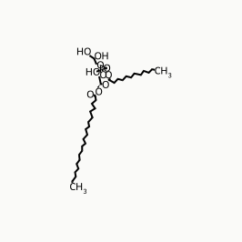 CCCCCCCCCCCCCCCCCCCCCC(=O)OC[C@H](COP(=O)(O)OC[C@@H](O)CO)OC(=O)CCCCCCCCCCC